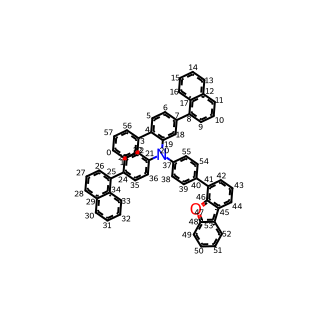 c1ccc(-c2ccc(-c3cccc4ccccc34)cc2N(c2ccc(-c3cccc4ccccc34)cc2)c2ccc(-c3cccc4c3oc3ccccc34)cc2)cc1